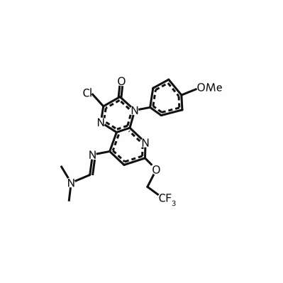 COc1ccc(-n2c(=O)c(Cl)nc3c(/N=C/N(C)C)cc(OCC(F)(F)F)nc32)cc1